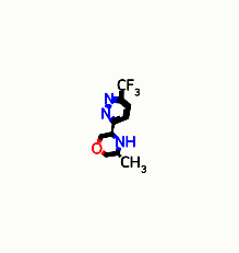 C[C@H]1COC[C@@H](c2ccc(C(F)(F)F)nn2)N1